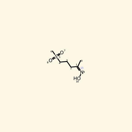 C/C(CCCS(C)(=O)=O)=N/O